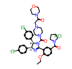 CCOc1ccc(C(=O)N2CCCC2)cc1C1=N[C@@H](c2ccc(Cl)cc2)[C@@H](c2ccc(Cl)cc2)N1C(=O)N1CCN(CC(=O)N2CCOCC2)CC1.Cl